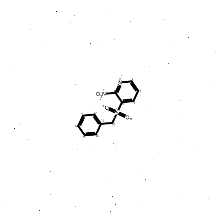 O=[N+]([O-])c1ncccc1S(=O)(=O)Cc1ccccc1